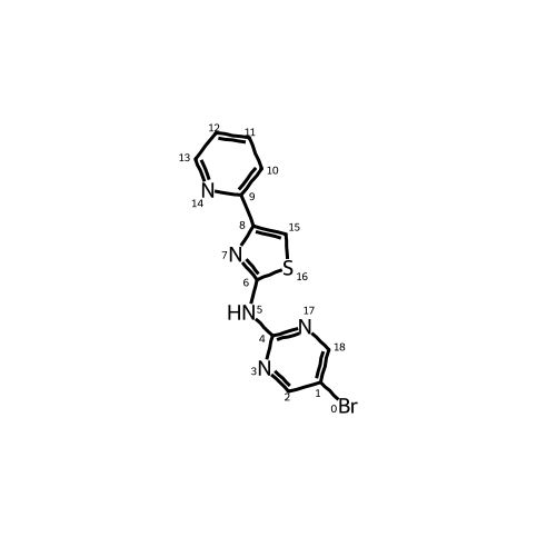 Brc1cnc(Nc2nc(-c3ccccn3)cs2)nc1